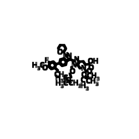 CCc1cc(OC)c(F)cc1-c1ccc2c(-c3nc4c(n3COCC[Si](C)(C)C)CN(C(=O)OC(C)(C)C)C(C(=O)O)C4)nn(C3CCCCO3)c2c1